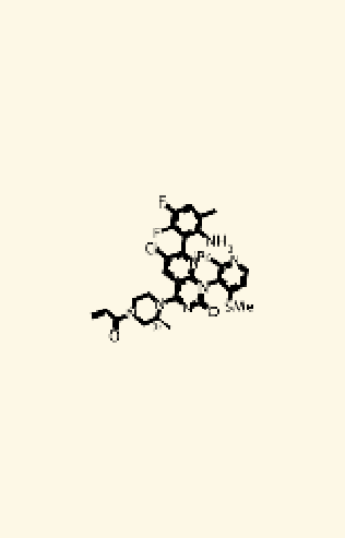 C=CC(=O)N1CCN(c2nc(=O)n(-c3c(SC)ccnc3C(C)C)c3nc(-c4c(N)c(C)cc(F)c4F)c(Cl)cc23)[C@@H](C)C1